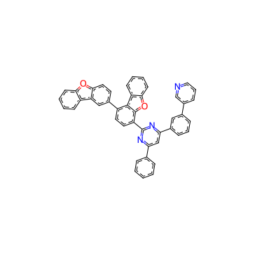 c1ccc(-c2cc(-c3cccc(-c4cccnc4)c3)nc(-c3ccc(-c4ccc5oc6ccccc6c5c4)c4c3oc3ccccc34)n2)cc1